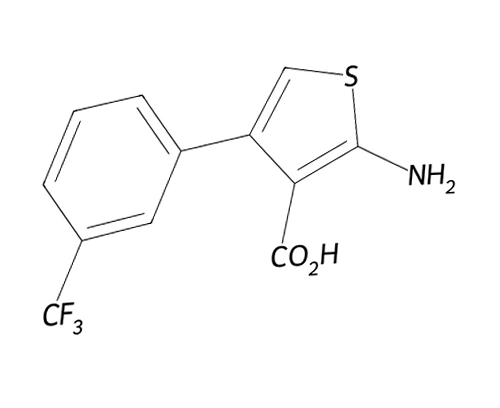 Nc1scc(-c2cccc(C(F)(F)F)c2)c1C(=O)O